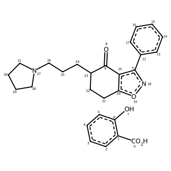 O=C(O)c1ccccc1O.O=C1c2c(-c3ccccc3)noc2CCC1CCCN1CCCC1